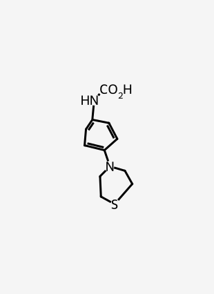 O=C(O)Nc1ccc(N2CCSCC2)cc1